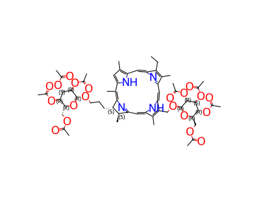 CCC1=C(C)c2cc3[nH]c(cc4nc(c(C)c5cc(C)c(cc1n2)[nH]5)[C@@H](CCCO[C@@H]1O[C@H](COC(C)=O)[C@@H](OC(C)=O)[C@H](OC(C)=O)[C@H]1OC(C)=O)[C@@H]4C)c(C)c3CO[C@@H]1O[C@H](COC(C)=O)[C@@H](OC(C)=O)[C@H](OC(C)=O)[C@H]1OC(C)=O